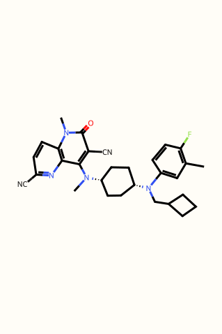 Cc1cc(N(CC2CCC2)[C@H]2CC[C@@H](N(C)c3c(C#N)c(=O)n(C)c4ccc(C#N)nc34)CC2)ccc1F